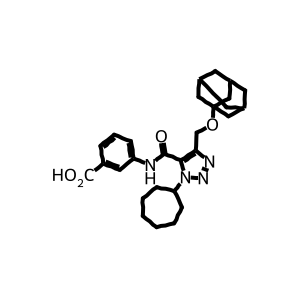 O=C(O)c1cccc(NC(=O)c2c(COC34CC5CC(CC(C5)C3)C4)nnn2C2CCCCCC2)c1